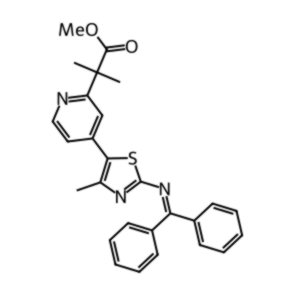 COC(=O)C(C)(C)c1cc(-c2sc(N=C(c3ccccc3)c3ccccc3)nc2C)ccn1